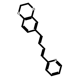 C(/C=C/c1ccccn1)=C\c1ccc2c(c1)OCCO2